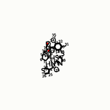 C=CC(=O)N1C2CC[C@@H]1CN(C(=O)c1cc(Sc3cnc(NC(=O)c4ccsc4)s3)c(C)cc1OC)C2